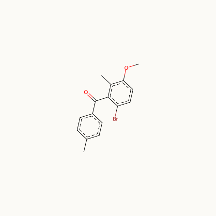 COc1ccc(Br)c(C(=O)c2ccc(C)cc2)c1C